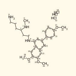 CNC(CCCN)CCNc1cc(-c2ccc(OC)cc2)nc2cc(OC)c(OC)cc12.Cl.Cl.Cl